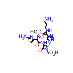 NCCCNCc1cn(C[C@H]2[C@H](NC(=O)C(=NOC3(C(=O)O)CC3)c3csc(N)n3)C(=O)N2S(=O)(=O)O)nn1